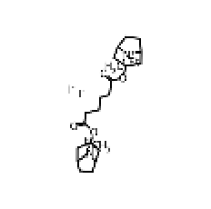 CC[N+]1(C)C2CCC1CC(OC(=O)CCCCC(=O)OC1CC3CCC(C1)[N+]3(C)CC)C2.[I-].[I-]